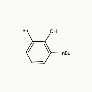 CCCCc1cccc(C(C)CC)c1O